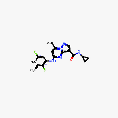 C=C/C(F)=C(\C=C(/C)F)Nc1cc(NC)n2ncc(C(=O)NC3CC3)c2n1